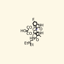 CCN(CC)CCNC(=O)c1c(C)[nH]c2c1CC/C2=C1/C(=O)Nc2cc(F)ccc21.O=C(O)C[C@H](O)C(=O)O